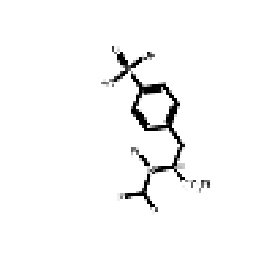 CCOC(=O)[C@H](Cc1ccc(P(=O)(O)O)cc1)N(CC)C(F)F